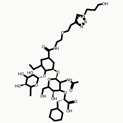 CCC1CC(C(=O)NCCOCCc2cn(CCCO)nn2)C[C@@H](O[C@@H]2OC(CO)[C@H](O)C(O[C@@H](CC3CCCCC3)C(=O)O)C2NC(C)=O)C1O[C@@H]1OC(C)[C@@H](O)C(O)C1O